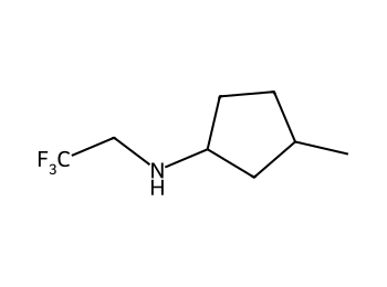 CC1CCC(NCC(F)(F)F)C1